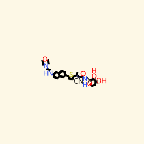 C/C(=C(/C#N)C(=O)NC[C@H]1OCC[C@@H](O)[C@@H]1O)c1ccc(-c2ccc3cc(NCCN4CCOCC4)ccc3c2)s1